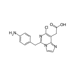 Nc1ccc(Cc2nc(Cl)c(CC(=O)O)c3nccn23)cc1